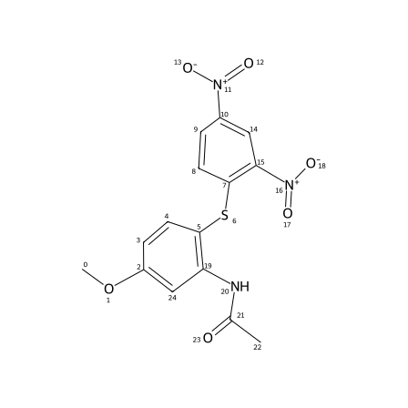 COc1ccc(Sc2ccc([N+](=O)[O-])cc2[N+](=O)[O-])c(NC(C)=O)c1